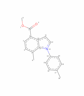 COC(=O)c1ccc(C)c2c1ccn2-c1ccc(C)cc1